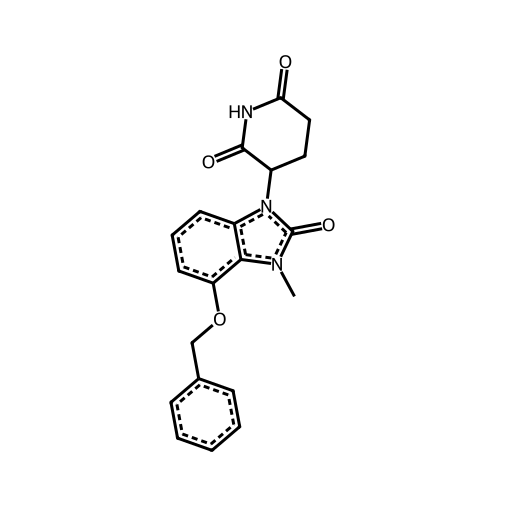 Cn1c(=O)n(C2CCC(=O)NC2=O)c2cccc(OCc3ccccc3)c21